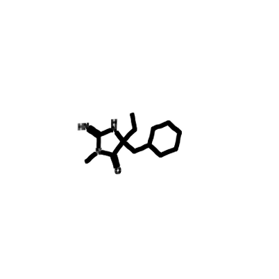 CCC1(CC2CCCCC2)NC(=N)N(C)C1=O